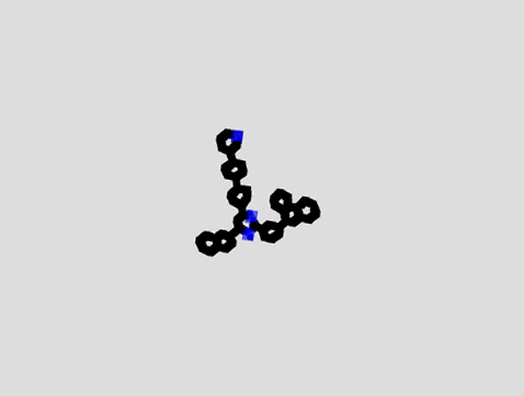 c1cncc(-c2ccc(-c3ccc(-c4cc(-c5ccc6ccccc6c5)nc(-c5cccc(-c6cc7ccccc7c7ccccc67)c5)n4)cc3)cc2)c1